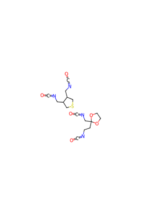 O=C=NCC1CSCC1CN=C=O.O=C=NCCC1(CN=C=O)OCCO1